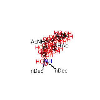 CCCCCCCCCCCCC/C=C/[C@@H](O)[C@H](CO[C@@H]1OC(CO)[C@@H](O[C@@H]2OC(CO)[C@H](O)[C@H](O[C@@H]3OC(CO)[C@@H](O[C@@H]4OC(CO[C@@H]5OC(CO)[C@@H](O)[C@H](O)C5NC(C)=O)[C@H](O)[C@H](O[C@@H]5OC(CO)[C@@H](O[C@@H]6OC(CO)[C@H](O)[C@H](O)C6O)[C@H](O)C5NC(C)=O)C4O)[C@H](O)C3NC(C)=O)C2O)[C@H](O)C1O)NC(=O)CCCCCCCCCCCCCCCCC